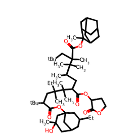 CCC1CC2CC(C)(O)CC(OC(=O)C(CC(C)(CC)C(C)(C)C(CC(C)C(C)(C)C(C)(CC(C)(C)C)C(=O)OC3(C)C4CC5CC(C4)CC3C5)C(=O)OC3CCOC3=O)C(C)(C)C)(C1)C2